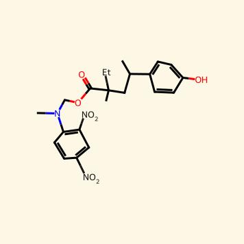 CCC(C)(CC(C)c1ccc(O)cc1)C(=O)OCN(C)c1ccc([N+](=O)[O-])cc1[N+](=O)[O-]